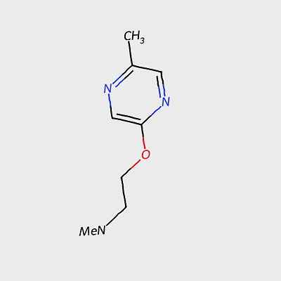 CNCCOc1cnc(C)cn1